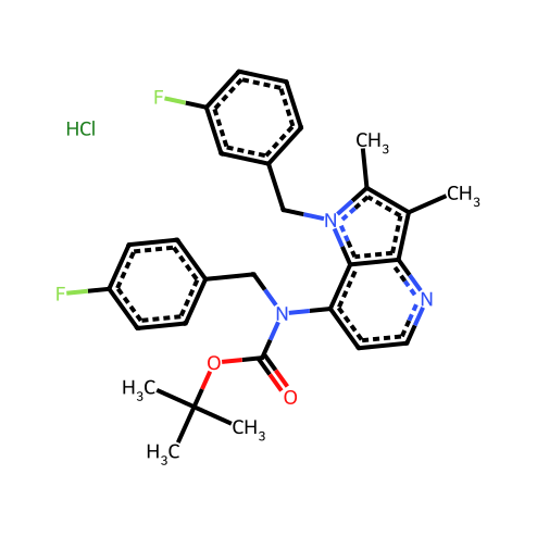 Cc1c(C)n(Cc2cccc(F)c2)c2c(N(Cc3ccc(F)cc3)C(=O)OC(C)(C)C)ccnc12.Cl